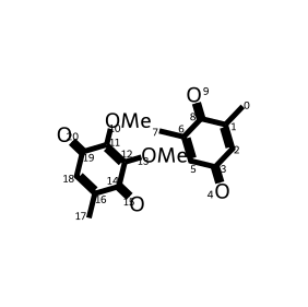 CC1=CC(=O)C=C(C)C1=O.COC1=C(OC)C(=O)C(C)=CC1=O